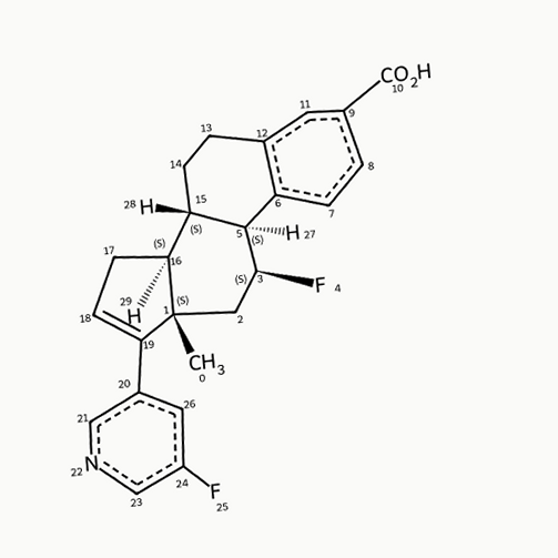 C[C@]12C[C@H](F)[C@@H]3c4ccc(C(=O)O)cc4CC[C@H]3[C@@H]1CC=C2c1cncc(F)c1